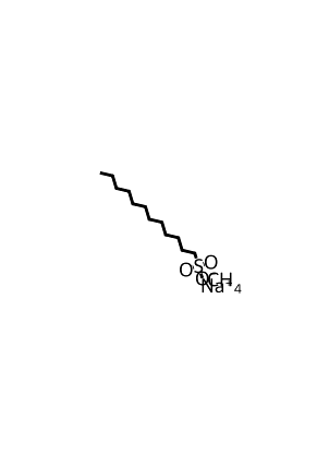 C.CCCCCCCCCCCCS(=O)(=O)[O-].[Na+]